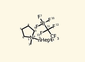 CCCCCCC[N+]1(C)CCCC1.F[B-](F)(F)C(F)(F)C(F)(F)F